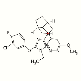 CCn1nc(NC2[C@@H]3CC[C@H]2CN(c2cnnc(OC)c2)C3)nc1Oc1ccc(F)c(Cl)c1